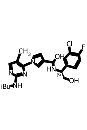 CCC(C)Nc1ncc(C)c(-n2ccc(C(O)N[C@H](CO)c3ccc(F)c(Cl)c3)c2)n1